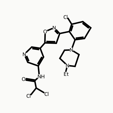 CCN1CCN(c2cccc(Cl)c2-c2cc(-c3cncc(NC(=O)C(Cl)Cl)c3)on2)CC1